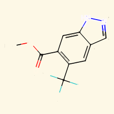 COC(=O)c1cc2[nH]ncc2cc1C(F)(F)F